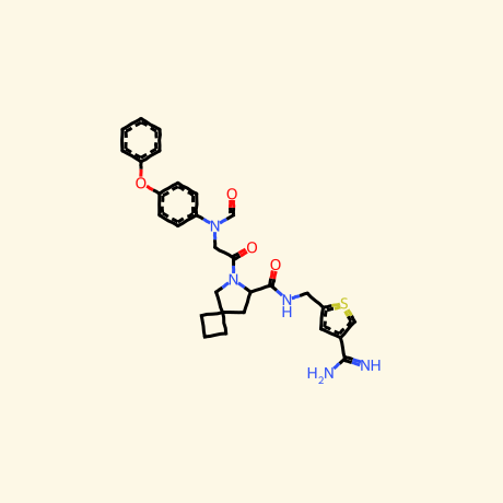 N=C(N)c1csc(CNC(=O)C2CC3(CCC3)CN2C(=O)CN(C=O)c2ccc(Oc3ccccc3)cc2)c1